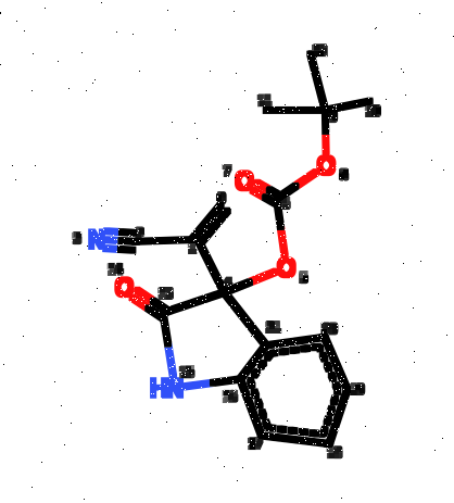 C=C(C#N)C1(OC(=O)OC(C)(C)C)C(=O)Nc2ccccc21